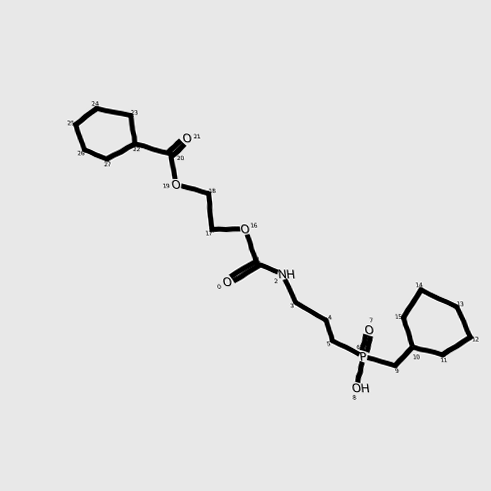 O=C(NCCCP(=O)(O)CC1CCCCC1)OCCOC(=O)C1CCCCC1